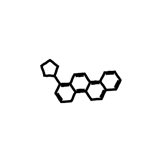 C1=CC(C2CCCC2)=c2ccc3c(c2C1)CC=c1ccccc1=3